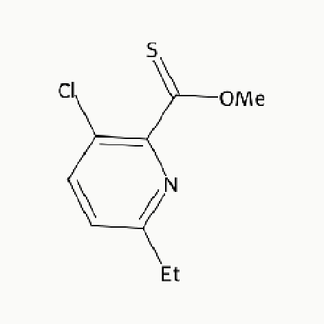 CCc1ccc(Cl)c(C(=S)OC)n1